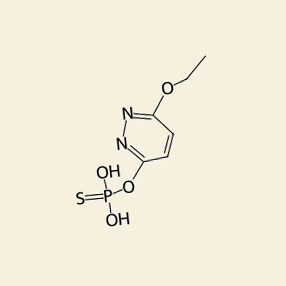 CCOc1ccc(OP(O)(O)=S)nn1